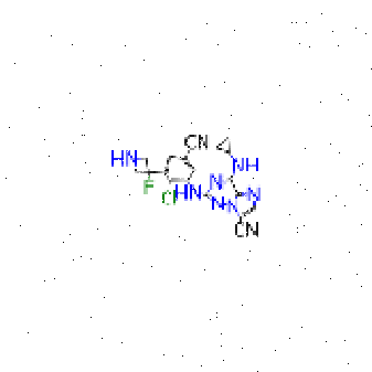 N#Cc1cc(Nc2nc(NC3CC3)c3ncc(C#N)n3n2)c(Cl)c(C2(F)CNC2)c1